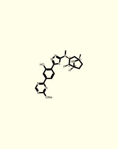 COc1ncnc(-c2ccc(-c3nnc(N(C)[C@H]4C[C@]5(C)CC[C@@H](N5)[C@H]4F)s3)c(O)c2)n1